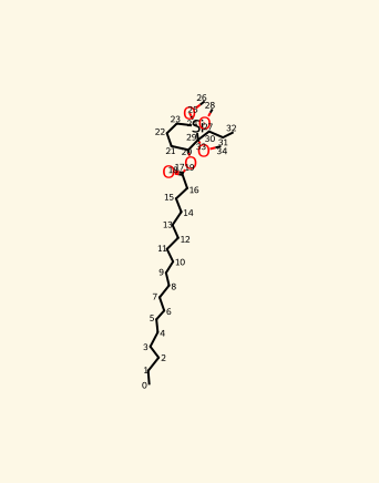 CCCCCCCCCCCCCCCCCC(=O)OC1CCC[Si](OC)(OC)C1(CCC)OC